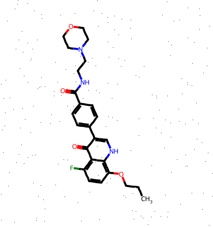 CCCOc1ccc(F)c2c(=O)c(-c3ccc(C(=O)NCCN4CCOCC4)cc3)c[nH]c12